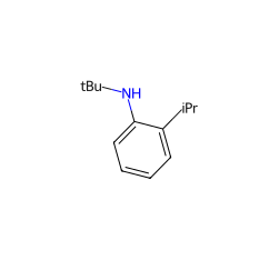 CC(C)c1ccccc1NC(C)(C)C